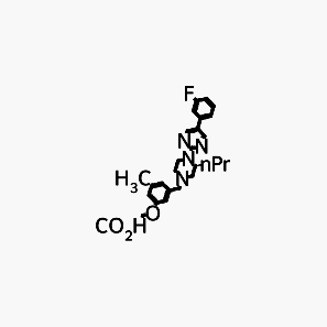 CCC[C@@H]1CN(Cc2cc(C)cc(OCC(=O)O)c2)CCN1c1ncc(-c2cccc(F)c2)cn1